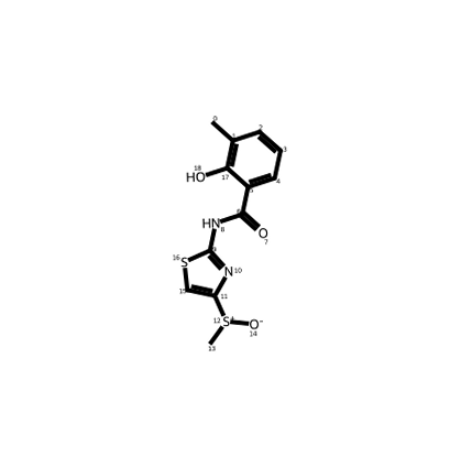 Cc1cccc(C(=O)Nc2nc([S+](C)[O-])cs2)c1O